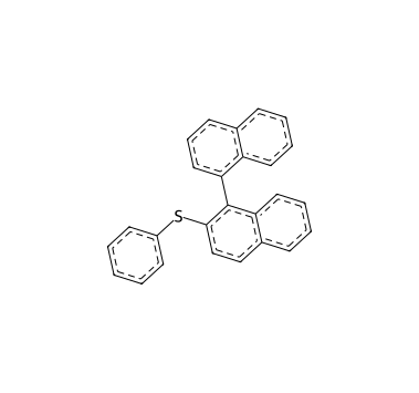 c1ccc(Sc2ccc3ccccc3c2-c2cccc3ccccc23)cc1